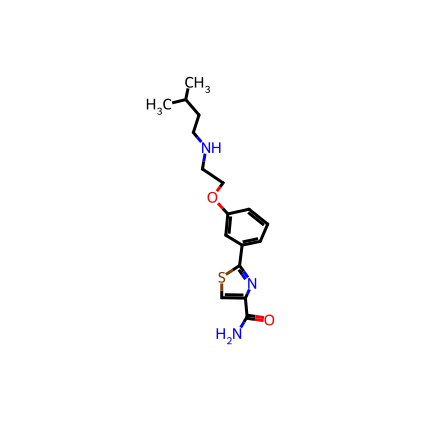 CC(C)CCNCCOc1cccc(-c2nc(C(N)=O)cs2)c1